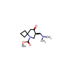 CN(C)C=C1CN(C(=O)OC(C)(C)C)C2(CCC2)CC1=O